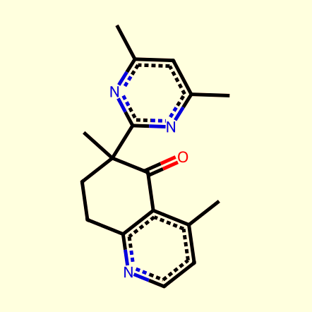 Cc1cc(C)nc(C2(C)CCc3nccc(C)c3C2=O)n1